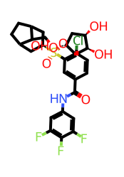 O=C(Nc1cc(F)c(F)c(F)c1)c1ccc(Cl)c(S(=O)(=O)[C@H]2CC3CCC(C2)[C@]3(O)CO[C@@H]2C[C@@H](O)[C@@H](O)C2)c1